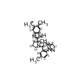 Cc1ccc(-n2nccn2)c(C(=O)N2CCCC2(C)c2nc3cc(C)c(C)cc3[nH]2)c1